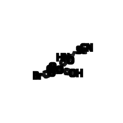 N#C[Se]CCCCCC(=O)Nc1ccc(C2=C(c3ccc(O)cc3)C3CC(S(=O)(=O)Oc4ccc(Br)cc4)C2O3)cc1